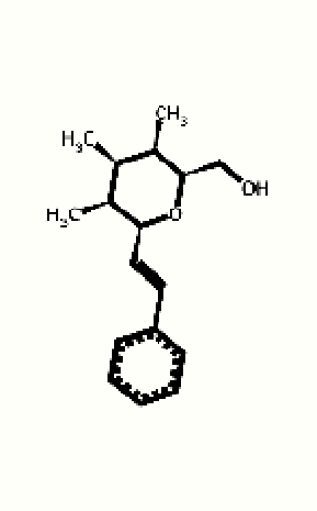 C[C@H]1[C@@H](C)[C@@H](CO)O[C@@H](/C=C/c2ccccc2)[C@H]1C